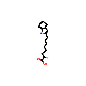 O=C(O)C(F)CCCCCCc1cc2ccccc2[nH]1